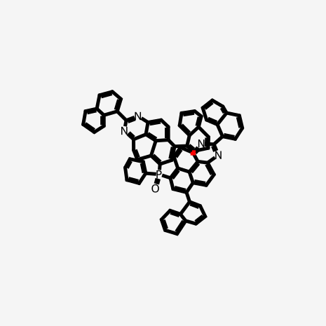 O=P(c1ccccc1)(c1cc(-c2cccc3ccccc23)c2ccc3nc(-c4cccc5ccccc45)nc4ccc1c2c34)c1cc(-c2cccc3ccccc23)c2ccc3nc(-c4cccc5ccccc45)nc4ccc1c2c34